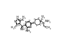 CC[C@@H](N)C1(C)CCN(c2cnc(C(=N)c3c(C)n[nH]c3C)c(N)n2)CC1